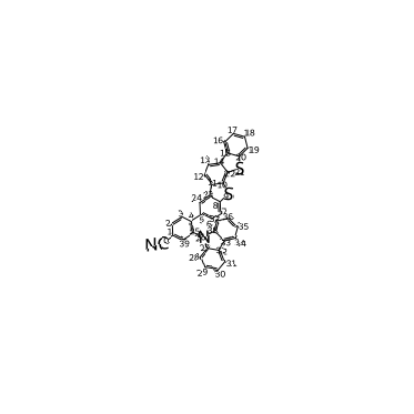 N#Cc1ccc(-c2ccc3sc4c(ccc5c6ccccc6sc54)c3c2)c(-n2c3ccccc3c3ccccc32)c1